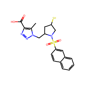 Cc1c(C(=O)O)nnn1CC1CC(S)CN1S(=O)(=O)c1ccc2ccccc2c1